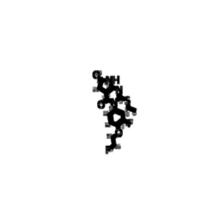 CCSc1nc2c(c(=O)n1-c1ccc(OCCF)c(F)c1)CC(=O)N2